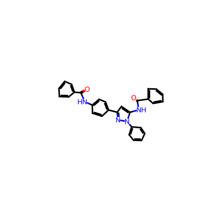 O=C(Nc1ccc(-c2cc(NC(=O)c3ccccc3)n(-c3ccccc3)n2)cc1)c1ccccc1